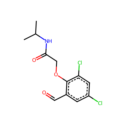 CC(C)NC(=O)COc1c(Cl)cc(Cl)cc1C=O